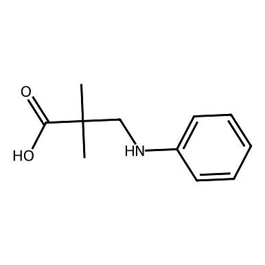 CC(C)(CNc1ccccc1)C(=O)O